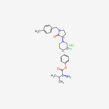 Cc1ccc(CN2CC[C@@H](N3CC[C@@H](c4ccc(OC(=O)[C@@H](N)C(C)C)cc4)[C@H](F)C3)C2=O)cc1.Cl